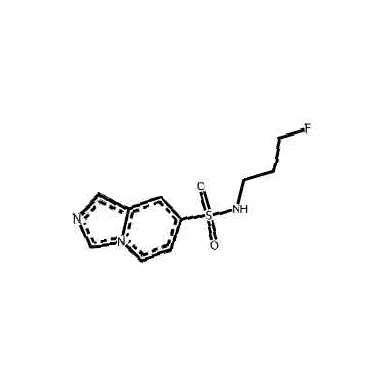 O=S(=O)(NCCCF)c1ccn2cncc2c1